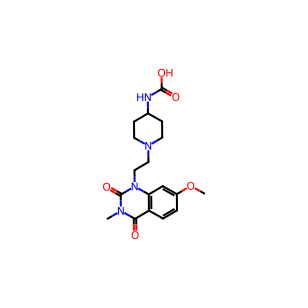 COc1ccc2c(=O)n(C)c(=O)n(CCN3CCC(NC(=O)O)CC3)c2c1